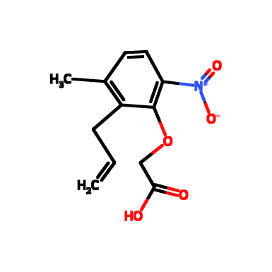 C=CCc1c(C)ccc([N+](=O)[O-])c1OCC(=O)O